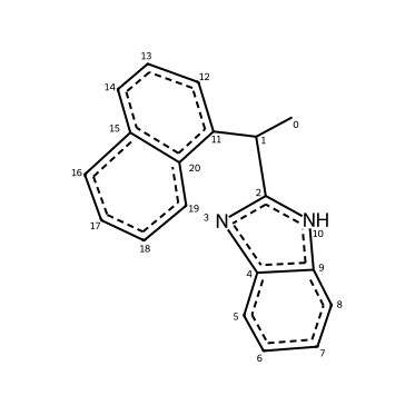 CC(c1nc2ccccc2[nH]1)c1cccc2ccccc12